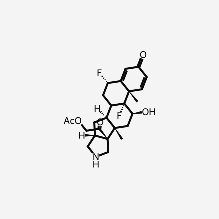 CC(=O)OCC(=O)[C@@]12CNC[C@@H]1C[C@H]1C3C[C@H](F)C4=CC(=O)C=C[C@]4(C)[C@@]3(F)[C@@H](O)C[C@@]12C